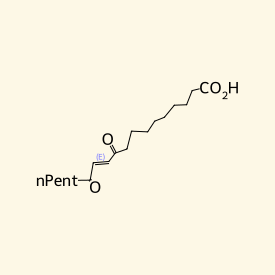 CCCCCC(=O)/C=C/C(=O)CCCCCCCCC(=O)O